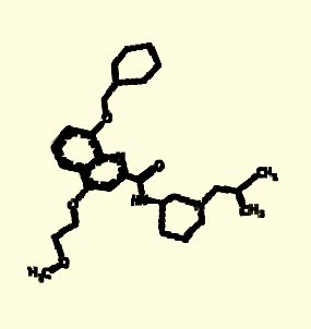 COCCOc1cc(C(=O)N[C@@H]2CCCN(CC(C)C)C2)nc2c(OCC3CCCCC3)cccc12